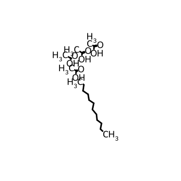 CC(=O)O.CC(=O)O.CC(=O)O.CC(=O)O.CCCCCCCCCCCC